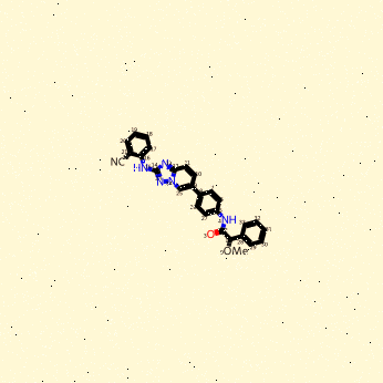 COC(C(=O)Nc1ccc(-c2ccc3nc(Nc4ccccc4C#N)nn3c2)cc1)c1ccccc1